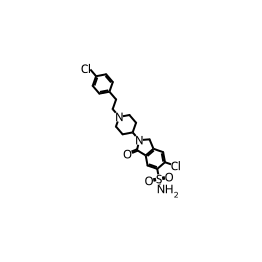 NS(=O)(=O)c1cc2c(cc1Cl)CN(C1CCN(CCc3ccc(Cl)cc3)CC1)C2=O